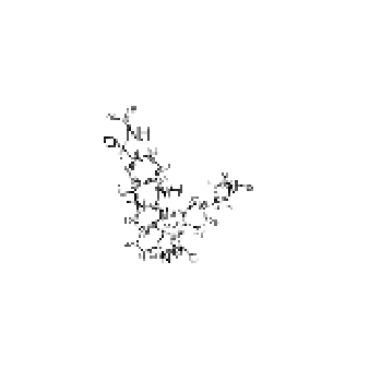 COc1cc(C(=O)NC(C)C)ccc1Nc1ncc2c(n1)-c1c(nn(C)c1-c1ccc(-c3cnn(C)c3)cc1)CC2